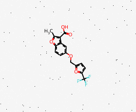 Cc1oc2ccc(OCc3ccc(C(F)(F)F)o3)cc2c1C(=O)O